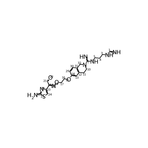 N=CNCCCNC(=N)N1CCc2cc(OCCO/N=C(\C=O)c3csc(N)n3)ccc2C1